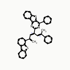 C=C(/C=C(\C=C(/C)c1ccccc1)c1nc(-c2ccccc2)c2sc3ccccc3c2n1)c1cccc2c1sc1ccccc12